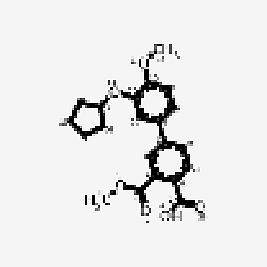 COC(=O)c1cc(-c2ccc(OC)c(OC3CCCC3)c2)ccc1C(=O)O